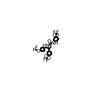 O=C(Nc1ccc2c(c1)OC(F)(F)O2)N1CC(c2ccc3c(c2)OC(F)(F)O3)=C(c2ccc(OC(F)F)cc2)N1